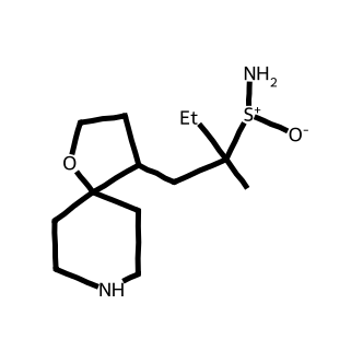 CCC(C)(CC1CCOC12CCNCC2)[S+](N)[O-]